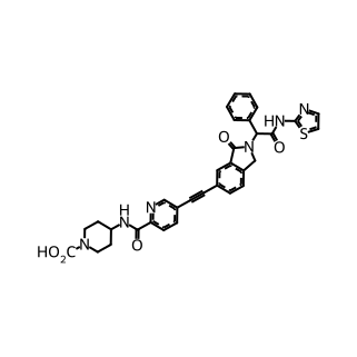 O=C(NC1CCN(C(=O)O)CC1)c1ccc(C#Cc2ccc3c(c2)C(=O)N(C(C(=O)Nc2nccs2)c2ccccc2)C3)cn1